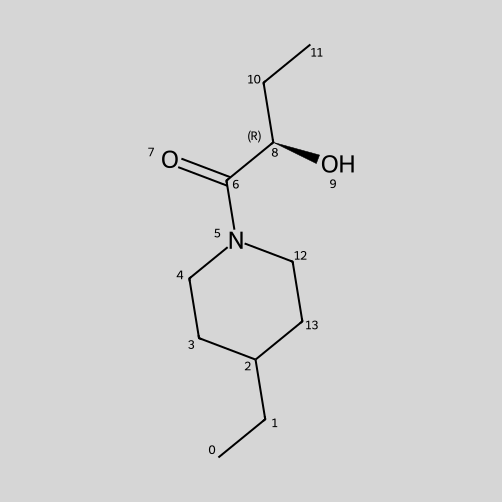 CCC1CCN(C(=O)[C@H](O)CC)CC1